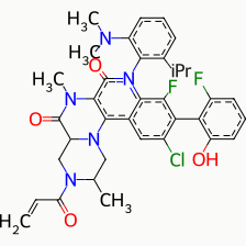 C=CC(=O)N1CC2C(=O)N(C)c3c(c4cc(Cl)c(-c5c(O)cccc5F)c(F)c4n(-c4c(C(C)C)cccc4N(C)C)c3=O)N2CC1C